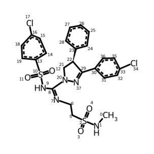 CNS(=O)(=O)CC/N=C(/NS(=O)(=O)c1ccc(Cl)cc1)N1C[C@@H](c2ccccc2)C(c2ccc(Cl)cc2)=N1